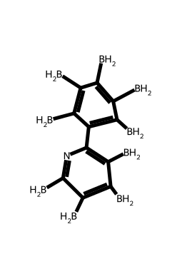 Bc1nc(-c2c(B)c(B)c(B)c(B)c2B)c(B)c(B)c1B